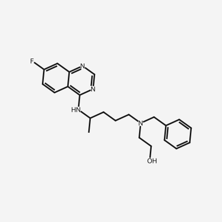 CC(CCCN(CCO)Cc1ccccc1)Nc1ncnc2cc(F)ccc12